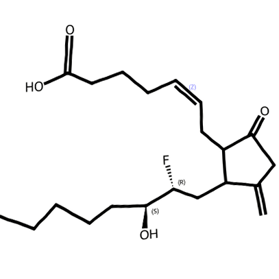 C=C1CC(=O)C(C/C=C\CCCC(=O)O)C1C[C@@H](F)[C@@H](O)CCCCC